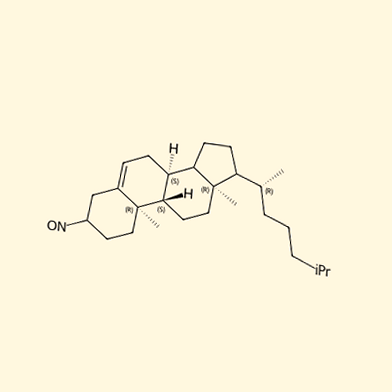 CC(C)CCC[C@@H](C)C1CCC2[C@@H]3CC=C4CC(N=O)CC[C@]4(C)[C@H]3CC[C@]12C